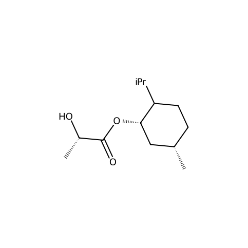 CC(C)C1CC[C@H](C)C[C@@H]1OC(=O)[C@H](C)O